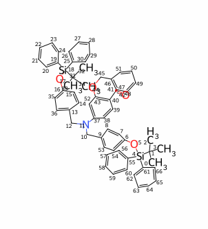 CC(C)(C)[Si](Oc1ccc(CN(Cc2ccc(O[Si](c3ccccc3)(c3ccccc3)C(C)(C)C)cc2)c2ccc(C=O)c(OCc3ccccc3)c2)cc1)(c1ccccc1)c1ccccc1